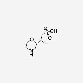 CC(CS(=O)(=O)O)C1CNCCO1